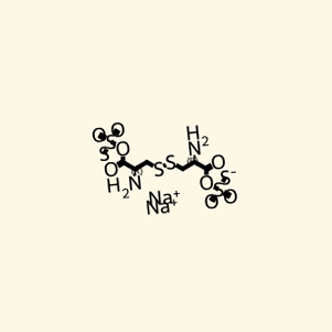 N[C@@H](CSSC[C@H](N)C(=O)OS(=O)(=O)[S-])C(=O)OS(=O)(=O)[S-].[Na+].[Na+]